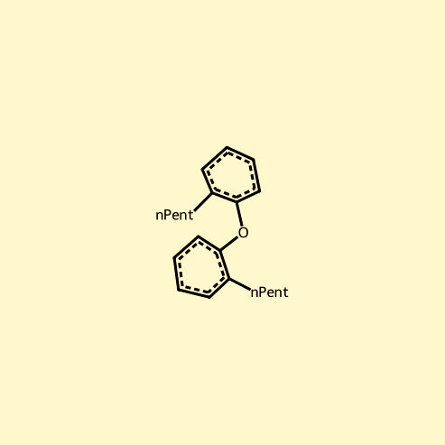 CCCCCc1ccccc1Oc1ccccc1CCCCC